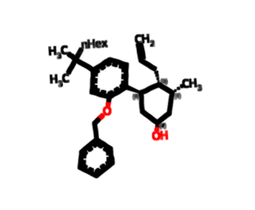 C=CC[C@@H]1[C@H](C)C[C@@H](O)C[C@H]1c1ccc(C(C)(C)CCCCCC)cc1OCc1ccccc1